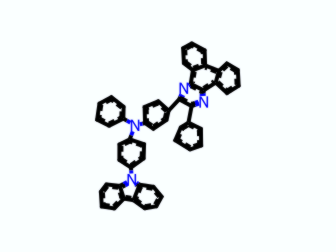 c1ccc(-c2nc3c4ccccc4c4ccccc4c3nc2-c2ccc(N(c3ccccc3)c3ccc(-n4c5ccccc5c5ccccc54)cc3)cc2)cc1